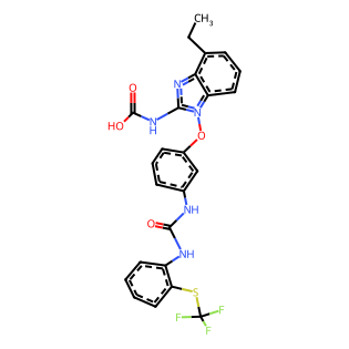 CCc1cccc2c1nc(NC(=O)O)n2Oc1cccc(NC(=O)Nc2ccccc2SC(F)(F)F)c1